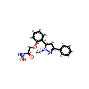 CC(=O)N1N=C(c2ccccc2)CC1c1ccccc1OCC(=O)NO